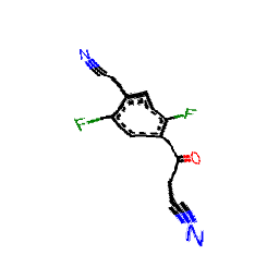 N#CCC(=O)c1cc(F)c(C#N)cc1F